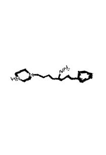 NC(CCCCN1CCNCC1)CCCc1ccccc1